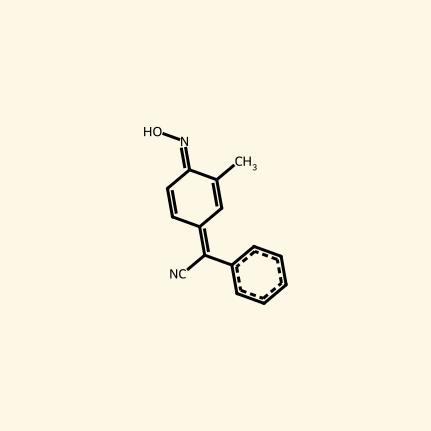 CC1=CC(=C(C#N)c2ccccc2)C=CC1=NO